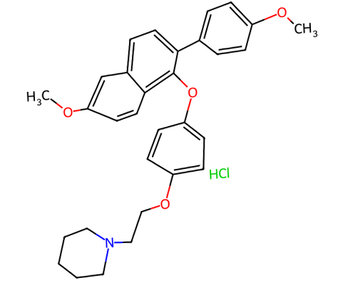 COc1ccc(-c2ccc3cc(OC)ccc3c2Oc2ccc(OCCN3CCCCC3)cc2)cc1.Cl